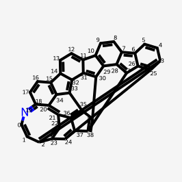 c1cc2c3ccc4c5ccc6c7ccc8c9ccc(n1)c1c%10cc2c2c3c4c3c5c6c4c7c8c(c91)c1c%10c2c3c41